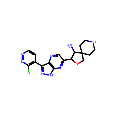 NC1C(c2cnc3c(-c4ccnnc4Cl)n[nH]c3n2)OCC12CCNCC2